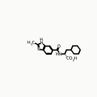 Cc1nc2ccc(C(=O)N[C@H](CC3CCCCC3)C(=O)O)cc2[nH]1